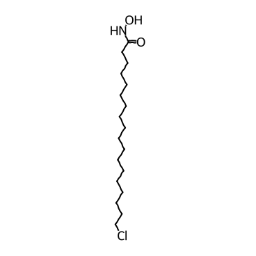 O=C(CCCCCCCCCCCCCCCCCCl)NO